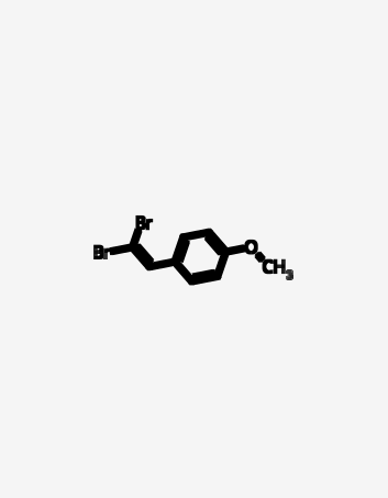 COc1ccc(C=C(Br)Br)cc1